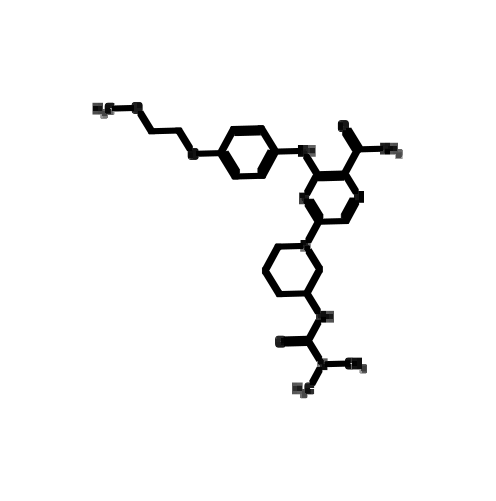 COCCOc1ccc(Nc2nc(N3CCCC(NC(=O)N(C)C)C3)cnc2C(N)=O)cc1